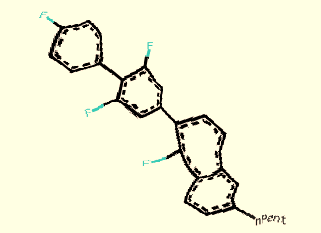 CCCCCc1ccc2c(F)c(-c3cc(F)c(-c4ccc(F)cc4)c(F)c3)ccc2c1